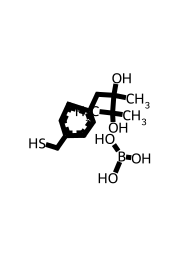 CC(C)(O)C(C)(O)Cc1ccc(CS)cc1.OB(O)O